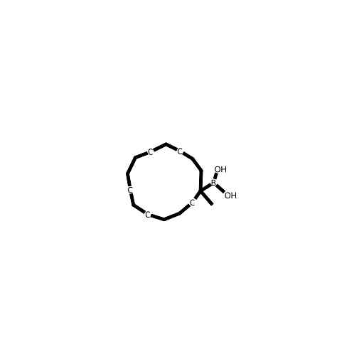 CC1(B(O)O)CCCCCCCCCCCCC1